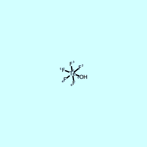 O[Te](F)(F)(F)(F)F